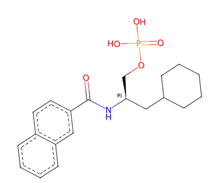 O=C(N[C@@H](COP(=O)(O)O)CC1CCCCC1)c1ccc2ccccc2c1